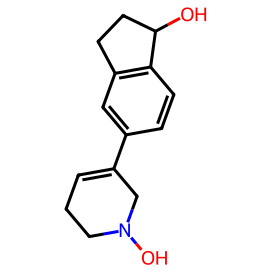 OC1CCc2cc(C3=CCCN(O)C3)ccc21